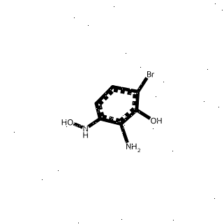 Nc1c(NO)ccc(Br)c1O